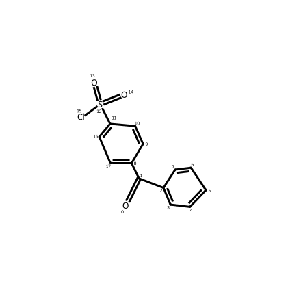 O=C(c1ccccc1)c1ccc(S(=O)(=O)Cl)cc1